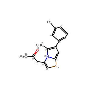 CCc1cccc(-c2cc3scc(CC(=O)OC)n3c2C=O)c1